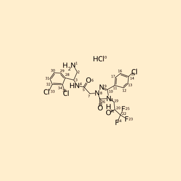 Cl.NCC(NC(=O)Cn1nc(-c2ccc(Cl)cc2)n(C[C@H](O)C(F)(F)F)c1=O)c1cccc(Cl)c1Cl